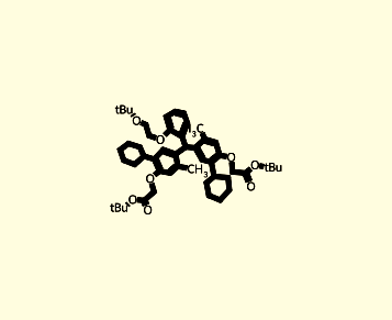 Cc1cc(OCC(=O)OC(C)(C)C)c(C2CCCCC2)cc1C(c1cc(C2CCCCC2)c(OCC(=O)OC(C)(C)C)cc1C)c1ccccc1OCCOC(C)(C)C